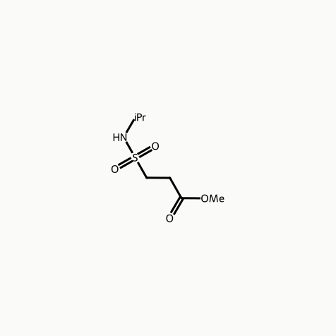 COC(=O)CCS(=O)(=O)NC(C)C